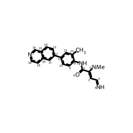 CN/C(=C\C=N)C(=O)Nc1ccc(-c2ccc3cnccc3c2)cc1C